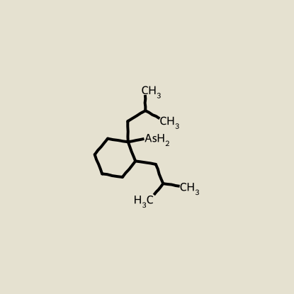 CC(C)CC1CCCCC1([AsH2])CC(C)C